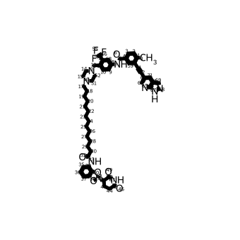 Cc1ccc(C(=O)Nc2ccc(CN3CCN(CCCCCCCCCCCCCCC(=O)Nc4cccc5c4ON(C4CCC(=O)NC4=O)O5)CC3)c(C(F)(F)F)c2)cc1C#Cc1cnc2[nH]ncc2c1